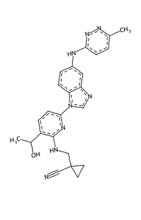 Cc1ccc(Nc2ccc3c(c2)ncn3-c2ccc(C(C)O)c(NCC3(C#N)CC3)n2)nn1